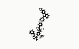 O=C(NS(=O)(=O)c1ccc(NC2CCCC2Sc2ccccc2)c([N+](=O)[O-])c1)c1ccc(N2CCN(Cc3ccccc3-c3ccc(Cl)cc3)CC2)cc1